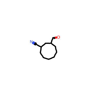 N#CC1CCCCCCC(C=O)C1